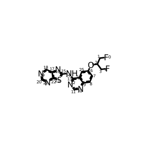 FCC(CF)Oc1ccc2ncnc(Nc3nc4cncnc4s3)c2c1